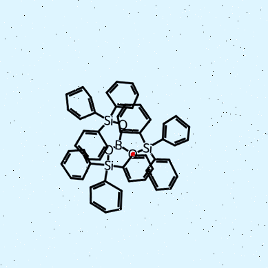 c1ccc([Si](OB(O[Si](c2ccccc2)(c2ccccc2)c2ccccc2)O[Si](c2ccccc2)(c2ccccc2)c2ccccc2)(c2ccccc2)c2ccccc2)cc1